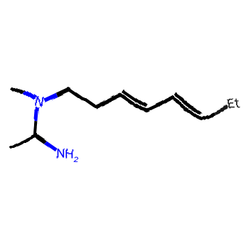 CCC=CC=CCCN(C)C(C)N